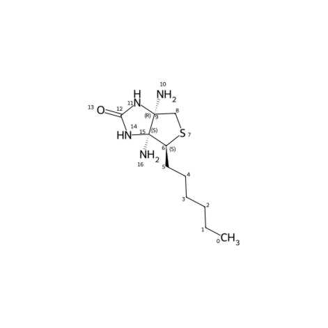 CCCCCC[C@@H]1SC[C@]2(N)NC(=O)N[C@]12N